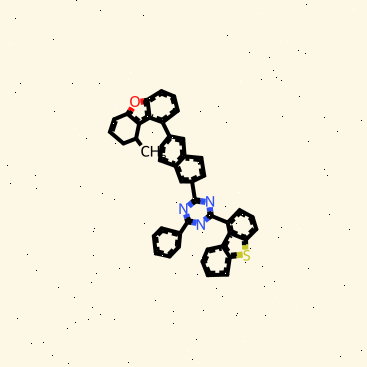 CC1CC=Cc2oc3cccc(-c4ccc5cc(-c6nc(-c7ccccc7)nc(-c7cccc8sc9ccccc9c78)n6)ccc5c4)c3c21